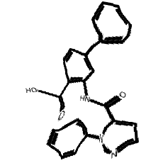 O=C(O)c1ccc(-c2ccccc2)cc1NC(=O)c1ccnn1-c1ccccc1